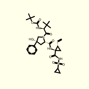 C=C[C@@H]1C[C@]1(NC(=O)[C@@H]1C[C@@](O)(c2ccccc2)CN1C(=O)[C@@H](NC(=O)OC(C)(C)C)C(C)(C)C)C(=O)NS(=O)(=O)C1CC1